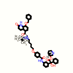 CC(C)(C)[Si](C)(C)O[C@@H](CNCCCCCOc1ccc(C(=O)Nc2cccc(C(O)(C(=O)O[C@H]3CN4CCC3CC4)c3ccccc3)c2)cc1)c1ccc(OCc2ccccc2)c2[nH]c(=O)ccc12